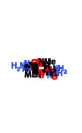 CNP1(=O)OC[C@H]2O[C@@H](n3cnc4c(N)ncnc43)C(O)C2OP(=O)(NC)OC[C@H]2O[C@@H](n3cnc4c(=O)[nH]c(N)nc43)C(O1)C2O